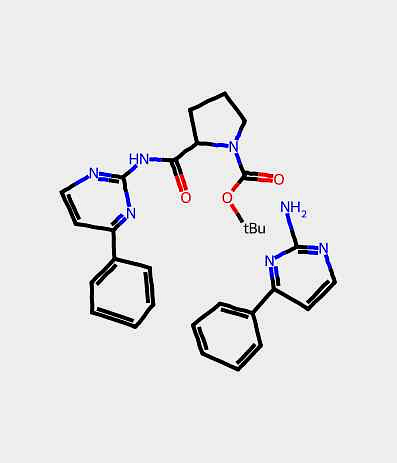 CC(C)(C)OC(=O)N1CCCC1C(=O)Nc1nccc(-c2ccccc2)n1.Nc1nccc(-c2ccccc2)n1